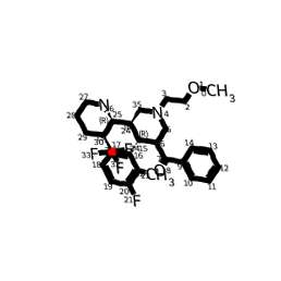 COCCN1CC(C(=O)c2ccccc2)[C@H](c2cccc(F)c2C)[C@@H]([C@H]2[N]CCC[C@@H]2C(F)(F)F)C1